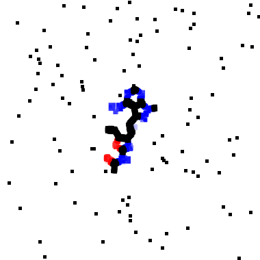 C=Cc1oc(NC(C)=O)nc1/C=C/c1nn(C)c2ncnc(N)c12